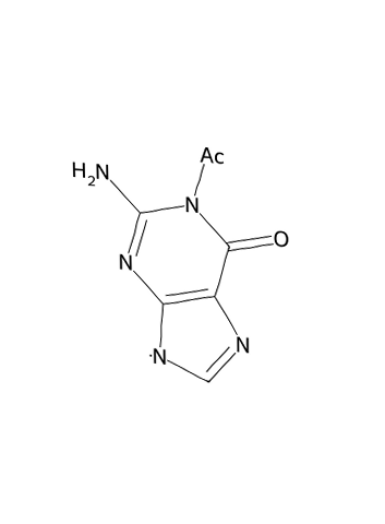 CC(=O)n1c(N)nc2c(c1=O)N=C[N]2